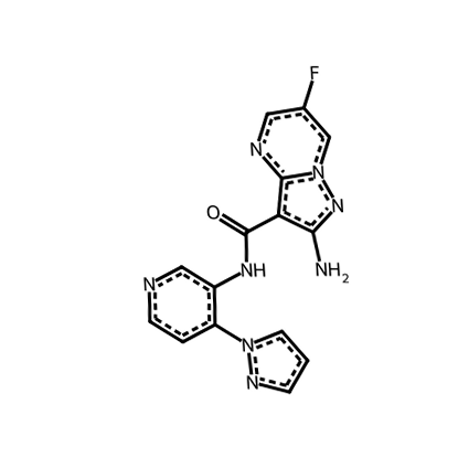 Nc1nn2cc(F)cnc2c1C(=O)Nc1cnccc1-n1cccn1